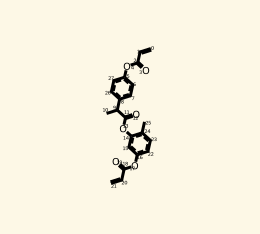 C=CC(=O)Oc1ccc(C(C)C(=O)Oc2cc(OC(=O)C=C)ccc2C)cc1